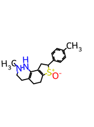 Cc1ccc(C2CC3=C(CCC4=C3NN(C)CC4)[S+]2[O-])cc1